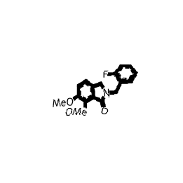 COc1ccc2c(c1OC)C(=O)N(Cc1ccccc1F)C2